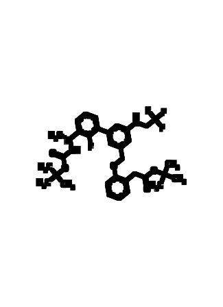 C[C@@H](NC(=O)OC(C)(C)C)c1cccc(-c2cc(COc3ccccc3CC(=O)OC(C)(C)C)cc(NCC(F)(F)F)c2)c1F